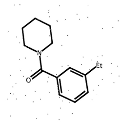 CCc1cccc(C(=O)N2CCCCC2)c1